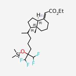 CCOC(=O)/C=C1\CCC[C@]2(C)[C@@H](C(C)CCCC(O[Si](C)(C)C)(C(F)F)C(F)F)CC[C@@H]12